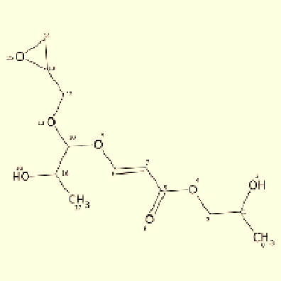 CC(O)COC(=O)C=COC(OCC1CO1)C(C)O